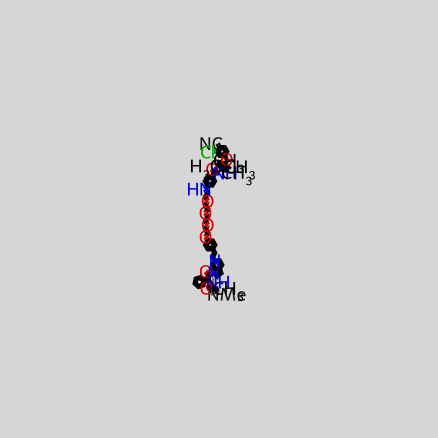 CN[C@@H](C)C(=O)N[C@H](C(=O)N1CCC2CCN(CCc3ccc(OCCOCCOCCOCCNc4ccc(C(=O)N[C@H]5C(C)(C)[C@H](Oc6ccc(C#N)c(Cl)c6)C5(C)C)cc4)cc3)CC21)C1CCCCC1